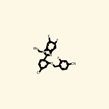 CC(C)(C)Cn1c(-c2ccc(Cl)cc2OCc2ccc(C#N)cc2F)nc2cc(F)c(F)cc21